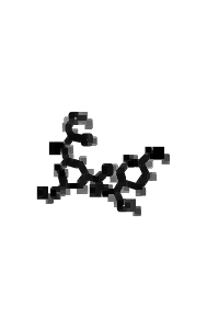 CCC(=O)Nc1cc(C(=O)NC(C)c2ccc(N)nc2)cc(C)n1